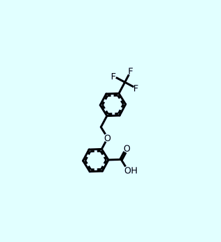 O=C(O)c1ccccc1OCc1ccc(C(F)(F)F)cc1